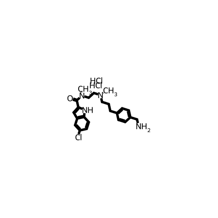 CN(CCCc1ccc(CN)cc1)CCN(C)C(=O)c1cc2cc(Cl)ccc2[nH]1.Cl.Cl